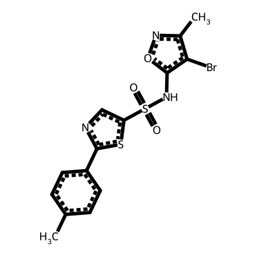 Cc1ccc(-c2ncc(S(=O)(=O)Nc3onc(C)c3Br)s2)cc1